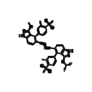 COc1n[nH]c2ccc(C#N)c(-c3ccc(S(C)(=O)=O)c(C)c3)c12.Cc1cc(-c2c(C#N)ccc3[nH]nc(OC(F)F)c23)ccc1S(C)(=O)=O